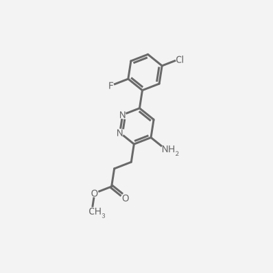 COC(=O)CCc1nnc(-c2cc(Cl)ccc2F)cc1N